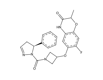 CC1Oc2cc(F)c(OC3CN(C(=O)N4N=CC[C@H]4c4ccccc4)C3)cc2NC1=O